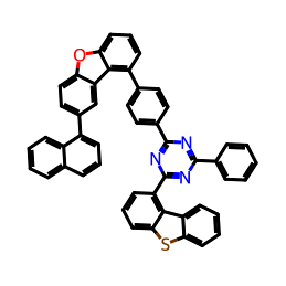 c1ccc(-c2nc(-c3ccc(-c4cccc5oc6ccc(-c7cccc8ccccc78)cc6c45)cc3)nc(-c3cccc4sc5ccccc5c34)n2)cc1